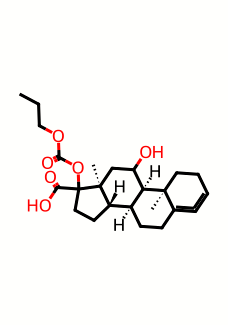 CCCOC(=O)OC1(C(=O)O)CC[C@H]2[C@@H]3CCC4=C=CCC[C@]4(C)[C@@H]3C(O)C[C@@]21C